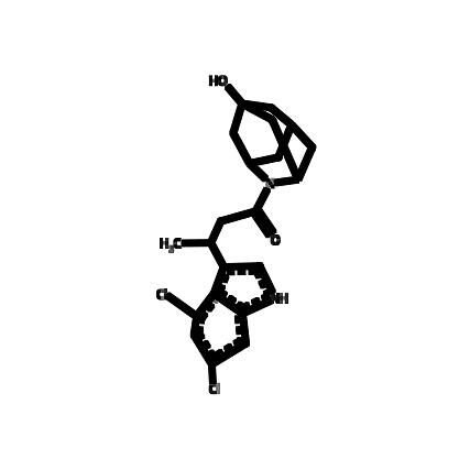 CC(CC(=O)N1C2CC3CC1CC(O)(C3)C2)c1c[nH]c2cc(Cl)cc(Cl)c12